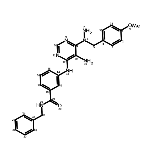 COc1ccc(CN(N)c2ncnc(Nc3cccc(C(=O)NCc4ccccc4)c3)c2N)cc1